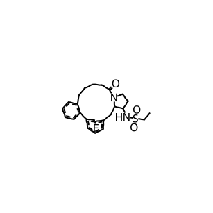 CCS(=O)(=O)NC1CCN2C(=O)CCCCc3ccccc3-c3cccc(c3F)CC12